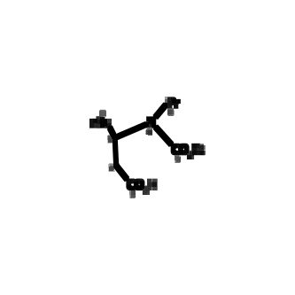 CCCCC(CC(=O)O)N(C(=O)OCC)C(C)C